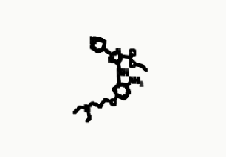 CCOC(=O)c1sc(-c2ccncc2)nc1NCc1cc(OCCCN(CC)CC)ccc1N